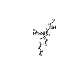 C=C/C=C\C=C/C(C)(CCNCC)NNC